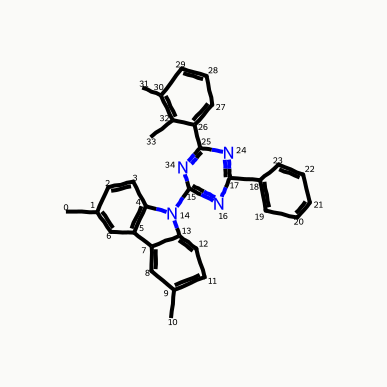 Cc1ccc2c(c1)c1cc(C)ccc1n2-c1nc(-c2ccccc2)nc(-c2cccc(C)c2C)n1